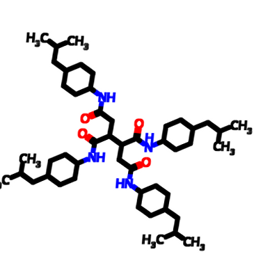 CC(C)CC1CCC(NC(=O)CC(C(=O)NC2CCC(CC(C)C)CC2)C(CC(=O)NC2CCC(CC(C)C)CC2)C(=O)NC2CCC(CC(C)C)CC2)CC1